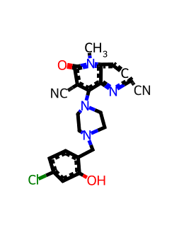 Cn1c(=O)c(C#N)c(N2CCN(Cc3ccc(Cl)cc3O)CC2)c2nc(C#N)ccc21